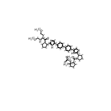 COCC[C@H](NCOC)C(=O)N1CCCC1c1ncc(-c2ccc(-c3ccc(-c4cnc(C5CCCN5C(=O)[C@H]5CCC[C@]5(C)OC(N)=O)[nH]4)cc3)cc2)[nH]1